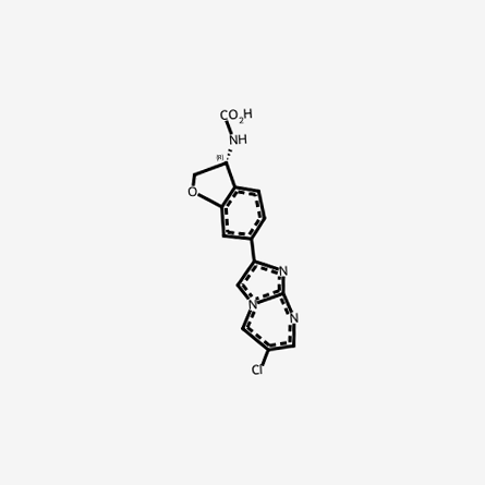 O=C(O)N[C@H]1COc2cc(-c3cn4cc(Cl)cnc4n3)ccc21